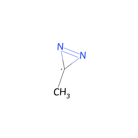 C[C]1N=N1